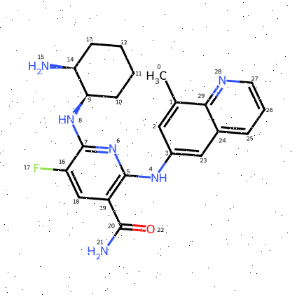 Cc1cc(Nc2nc(N[C@@H]3CCCC[C@@H]3N)c(F)cc2C(N)=O)cc2cccnc12